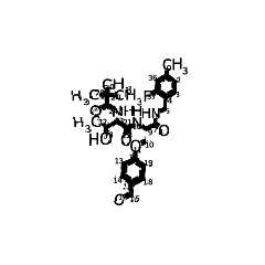 Cc1ccc(CNC(=O)[C@H](COc2ccc(C=O)cc2)NC(=O)[C@@H](NC(=O)C(C)(C)C)[C@@H](C)O)c(F)c1